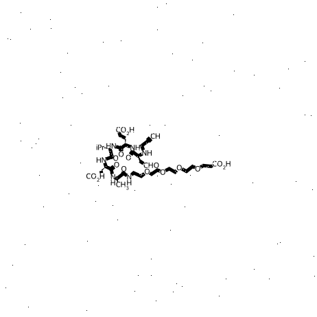 C#CCN[C@@H](CC=O)C(=O)N[C@@H](CCC(=O)O)C(=O)N[C@H](C(=O)N[C@@H](CC(=O)O)C(=O)N[C@@H](C)C(=O)NCCOCCOCCOCCOCCC(=O)O)C(C)C